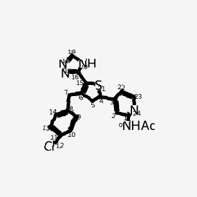 CC(=O)Nc1cc(C2CC(Cc3ccc(Cl)cc3)=C(c3nnc[nH]3)S2)ccn1